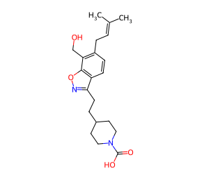 CC(C)=CCc1ccc2c(CCC3CCN(C(=O)O)CC3)noc2c1CO